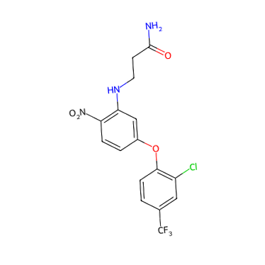 NC(=O)CCNc1cc(Oc2ccc(C(F)(F)F)cc2Cl)ccc1[N+](=O)[O-]